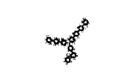 c1ccc(-c2ccc(-c3ccc(-c4ccc(N(c5ccc(-c6ccc(-c7ccccc7)cc6)cc5)c5ccc(-c6cccc7c6oc6ccccc67)cc5)cc4)cc3)cc2)cc1